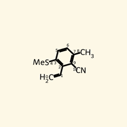 C=Cc1c(SC)ccc(C)c1C#N